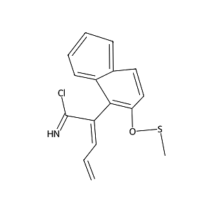 C=C/C=C(\C(=N)Cl)c1c(OSC)ccc2ccccc12